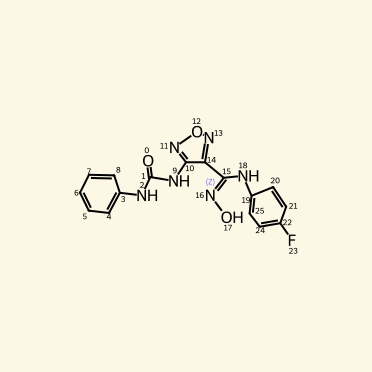 O=C(Nc1ccccc1)Nc1nonc1/C(=N/O)Nc1ccc(F)cc1